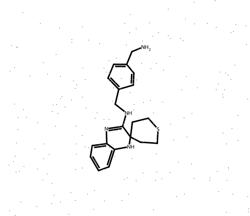 NCc1ccc(CNC2=Nc3ccccc3NC23CCSCC3)cc1